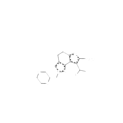 CCOC(=O)c1oc2c(c1C(F)F)-c1nn(C[C@H]3COCCO3)cc1CC2